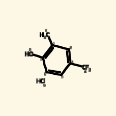 Cc1cc(C(F)(F)F)ccc1O.Cl